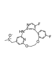 C[S+]([O-])Cc1cc2nc(c1)OCCOc1cc(F)ccc1-c1cc(ncc1F)N2